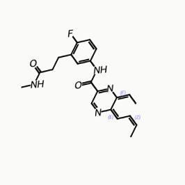 C\C=C/C=c1/ncc(C(=O)Nc2ccc(F)c(CCC(=O)NC)c2)n/c1=C/C